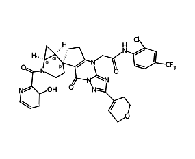 O=C(Cn1c2c(c(=O)n3nc(C4=CCOCC4)nc13)[C@@]1(CC2)CCN(C(=O)c2ncccc2O)[C@H]2C[C@H]21)Nc1ccc(C(F)(F)F)cc1Cl